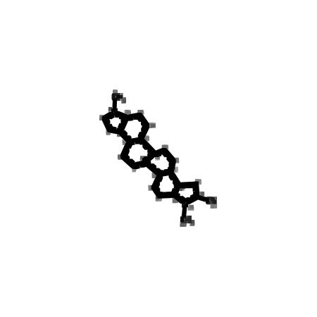 Cn1ccc2c3ccc4c(ccc5c4ccc4c5cc(C#N)n4C)c3ccc21